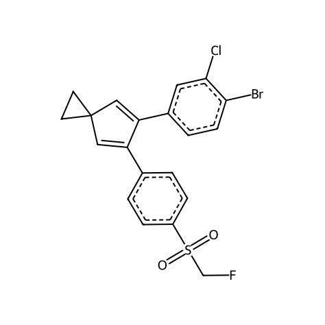 O=S(=O)(CF)c1ccc(C2=CC3(C=C2c2ccc(Br)c(Cl)c2)CC3)cc1